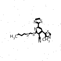 CCCCSCSc1nc(-c2nccs2)cc(-c2scnc2C)c1C#N